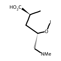 CNC[C@H](C[C@H](C)C(=O)O)OI